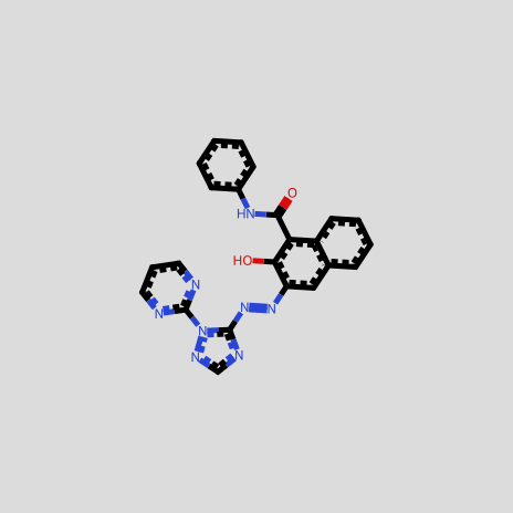 O=C(Nc1ccccc1)c1c(O)c(/N=N/c2ncnn2-c2ncccn2)cc2ccccc12